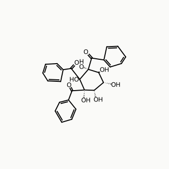 O=C(c1ccccc1)[C@]1(O)[C@@](O)(C(=O)c2ccccc2)[C@@H](O)[C@H](O)[C@H](O)[C@@]1(O)C(=O)c1ccccc1